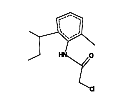 CCC(C)c1cccc(C)c1NC(=O)CCl